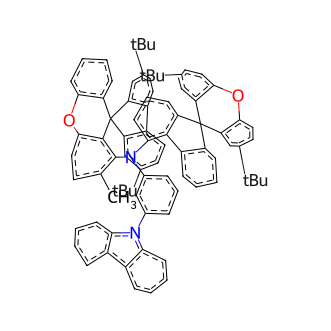 Cc1ccc2c(c1N(c1cccc(-n3c4ccccc4c4ccccc43)c1)c1cccc3c1-c1ccccc1C31c3cc(C(C)(C)C)ccc3Oc3ccc(C(C)(C)C)cc31)C1(c3ccccc3O2)c2cc(C(C)(C)C)ccc2-c2ccc(C(C)(C)C)cc21